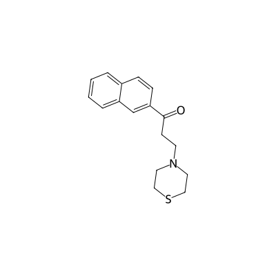 O=C(CCN1CCSCC1)c1ccc2ccccc2c1